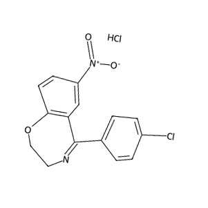 Cl.O=[N+]([O-])c1ccc2c(c1)C(c1ccc(Cl)cc1)=NCCO2